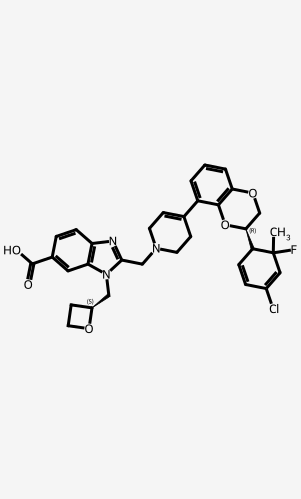 CC1(F)C=C(Cl)C=CC1[C@@H]1COc2cccc(C3=CCN(Cc4nc5ccc(C(=O)O)cc5n4C[C@@H]4CCO4)CC3)c2O1